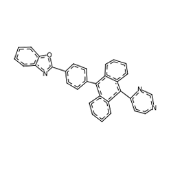 c1ccc2oc(-c3ccc(-c4c5ccccc5c(-c5ccncn5)c5ccccc45)cc3)nc2c1